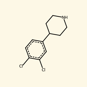 Clc1ccc(C2CCNCC2)cc1Cl